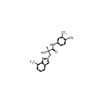 C[C@](O)(Cn1cc2cccc(C(F)(F)F)c2n1)C(=O)Nc1ccc(C#N)c(C(F)(F)F)c1